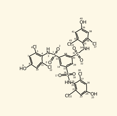 O=S(=O)(Nc1c(Cl)cc(O)cc1Cl)c1cc(S(=O)(=O)Nc2c(Cl)cc(O)cc2Cl)cc(S(=O)(=O)Nc2c(Cl)cc(O)cc2Cl)c1